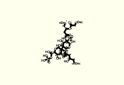 CCCCCCCCCCCC(=O)O[C@H](CCCCCCCCCCC)CC(=O)NC1(P(=O)(O)O)CO[C@H](CO)[C@](O)(C2(NC(=O)C[C@H](O)CCCCCCCCCCC)CO[C@H](C(O)OP(=O)(O)O)[C@@H](O)[C@@H]2O)[C@@H]1O